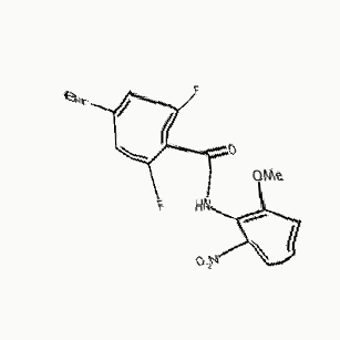 COc1cccc([N+](=O)[O-])c1NC(=O)c1c(F)cc(Br)cc1F